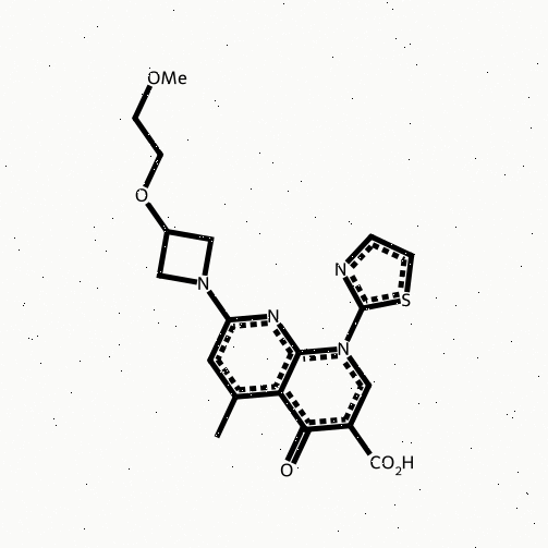 COCCOC1CN(c2cc(C)c3c(=O)c(C(=O)O)cn(-c4nccs4)c3n2)C1